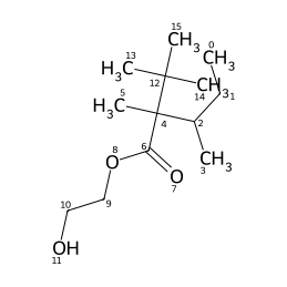 CCC(C)C(C)(C(=O)OCCO)C(C)(C)C